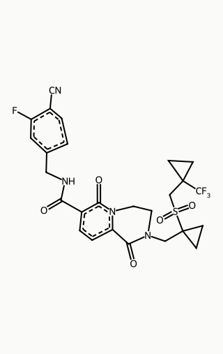 N#Cc1ccc(CNC(=O)c2ccc3n(c2=O)CCN(CC2(S(=O)(=O)CC4(C(F)(F)F)CC4)CC2)C3=O)cc1F